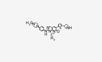 CCn1c(=O)c(-c2ccc(C3CCNC3)s2)cc2cnc(Nc3ccc(N4CCN(C)CC4)cc3)nc21